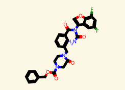 NC(=O)N(C(=O)c1cccc(CN2CCN(C(=O)OCc3ccccc3)CC2=O)c1)c1coc2c(F)cc(F)cc12